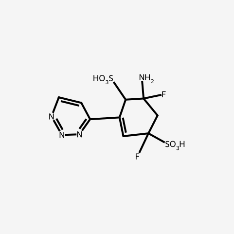 NC1(F)CC(F)(S(=O)(=O)O)C=C(c2ccnnn2)C1S(=O)(=O)O